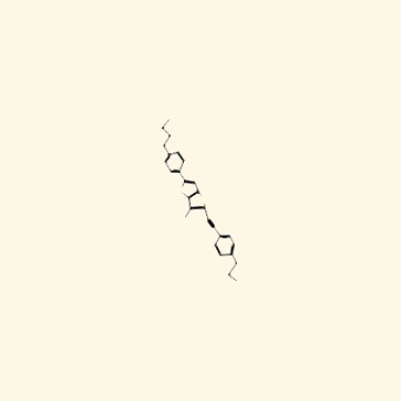 CCCCc1ccc(-c2cc3sc(C#Cc4ccc(CCC)cc4)c(C)c3s2)cc1